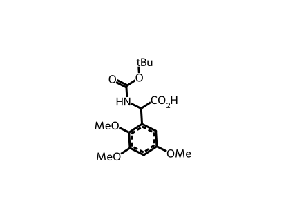 COc1cc(OC)c(OC)c(C(NC(=O)OC(C)(C)C)C(=O)O)c1